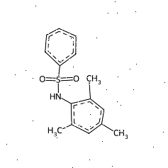 Cc1cc(C)c(NS(=O)(=O)c2ccccc2)c(C)c1